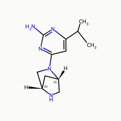 CC(C)c1cc(N2C[C@@H]3C[C@H]2CN3)nc(N)n1